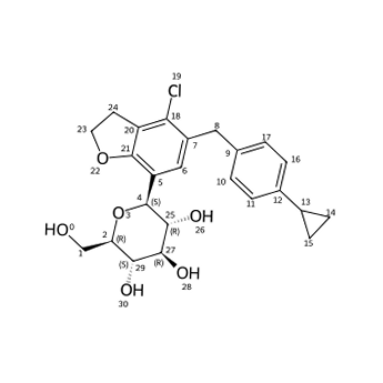 OC[C@H]1O[C@@H](c2cc(Cc3ccc(C4CC4)cc3)c(Cl)c3c2OCC3)[C@H](O)[C@@H](O)[C@@H]1O